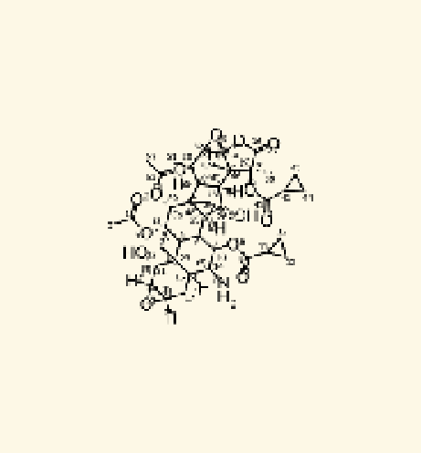 CC(=O)O[C@H]1C2C([C@@H](OC(=O)C3CC3)[C@@H](N)[C@H]3C[C@@H]4O[C@@H]4[C@H](O)[C@]23C)[C@@H]2[C@@H](O)[C@@H]3[C@H]([C@H](C)[C@H]4O[C@]45OC(=O)[C@@](C)(OC(=O)C4CC4)[C@]35C)[C@@]2(C)[C@H]1OC(C)=O